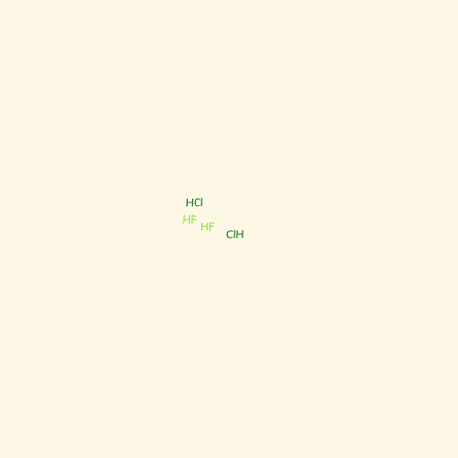 Cl.Cl.F.F